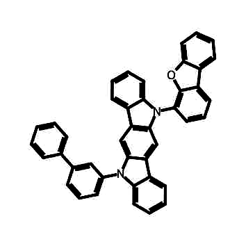 c1ccc(-c2cccc(-n3c4ccccc4c4cc5c(cc43)c3ccccc3n5-c3cccc4c3oc3ccccc34)c2)cc1